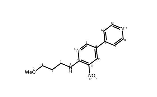 COCCCNc1ncc(-c2ccncc2)cc1[N+](=O)[O-]